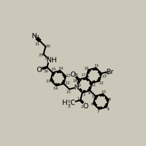 CC(=O)c1c(-c2ccccc2)c2cc(Br)ccc2c(=O)n1Cc1ccc(C(=O)NCCC#N)cc1